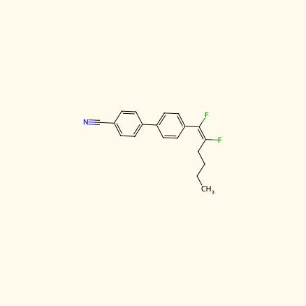 CCCC/C(F)=C(/F)c1ccc(-c2ccc(C#N)cc2)cc1